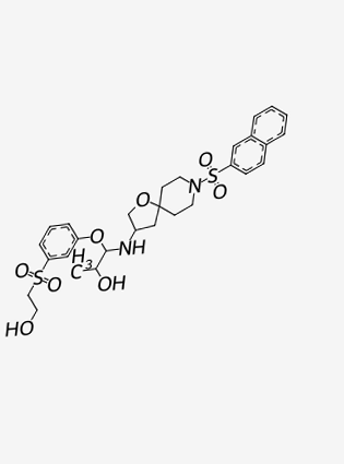 CC(O)C(NC1COC2(CCN(S(=O)(=O)c3ccc4ccccc4c3)CC2)C1)Oc1cccc(S(=O)(=O)CCO)c1